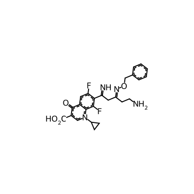 N=C(CC(CCN)=NOCc1ccccc1)c1c(F)cc2c(=O)c(C(=O)O)cn(C3CC3)c2c1F